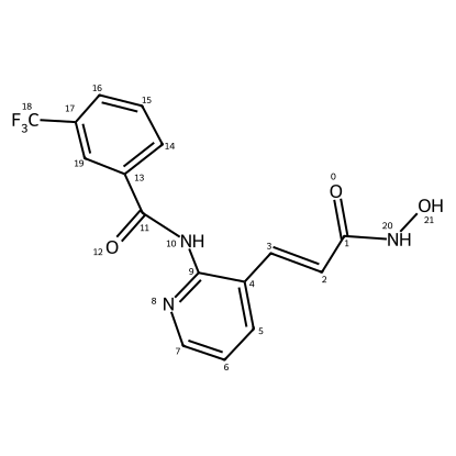 O=C(C=Cc1cccnc1NC(=O)c1cccc(C(F)(F)F)c1)NO